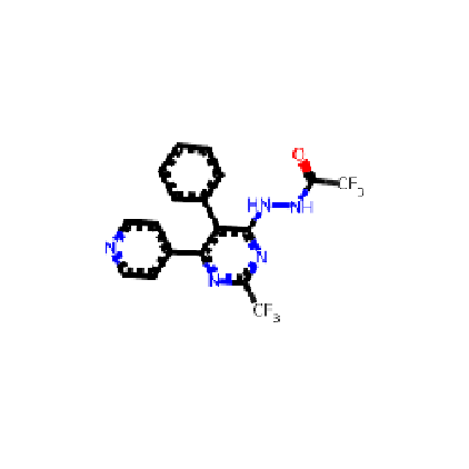 O=C(NNc1nc(C(F)(F)F)nc(-c2ccncc2)c1-c1ccccc1)C(F)(F)F